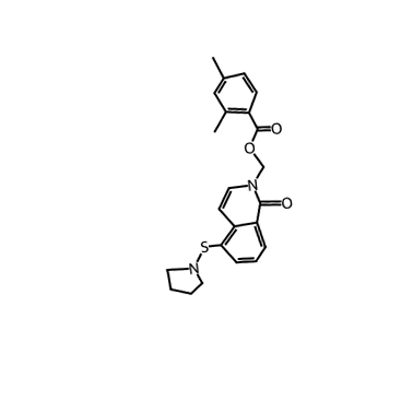 Cc1ccc(C(=O)OCn2ccc3c(SN4CCCC4)cccc3c2=O)c(C)c1